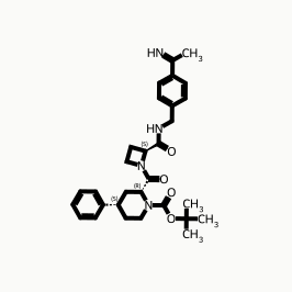 CC(=N)c1ccc(CNC(=O)[C@@H]2CCN2C(=O)[C@H]2C[C@@H](c3ccccc3)CCN2C(=O)OC(C)(C)C)cc1